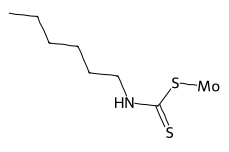 CCCCCCNC(=S)[S][Mo]